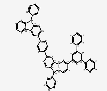 c1cccc(-n2c3ccccc3c3cc(-c4ccc(-c5ccc6c(c5)C5C=C(C7=CC(c8ccccc8)CC(c8ccccc8)=C7)C=CC5N6c5ccccc5)cc4)ccc32)c#1